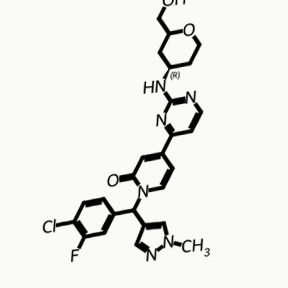 Cn1cc(C(c2ccc(Cl)c(F)c2)n2ccc(-c3ccnc(N[C@@H]4CCOC(CO)C4)n3)cc2=O)cn1